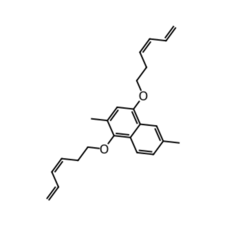 C=C/C=C\CCOc1cc(C)c(OCC/C=C\C=C)c2ccc(C)cc12